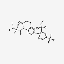 CCS(=O)(=O)c1cc(C(F)(F)F)cnc1-c1cc2c(cn1)N(C(F)C(F)(F)C(F)F)C(=O)CC2